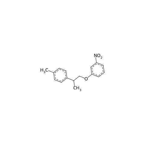 Cc1ccc(C(C)COc2cccc([N+](=O)[O-])c2)cc1